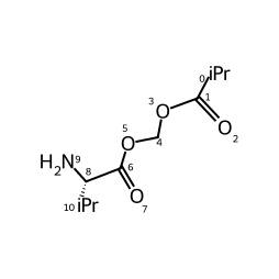 CC(C)C(=O)OCOC(=O)[C@@H](N)C(C)C